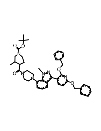 CC1CN(C(=O)OC(C)(C)C)CCC1C(=O)N1CCN(c2cccc3c(-c4ccc(OCc5ccccc5)nc4OCc4ccccc4)nn(C)c23)CC1